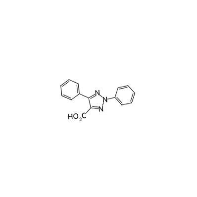 O=C(O)c1nn(-c2ccccc2)nc1-c1ccccc1